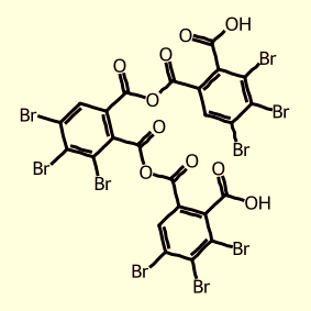 O=C(OC(=O)c1cc(Br)c(Br)c(Br)c1C(=O)OC(=O)c1cc(Br)c(Br)c(Br)c1C(=O)O)c1cc(Br)c(Br)c(Br)c1C(=O)O